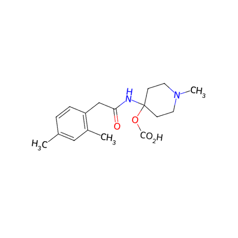 Cc1ccc(CC(=O)NC2(OC(=O)O)CCN(C)CC2)c(C)c1